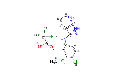 COc1cc(Nc2n[nH]c3ncccc23)ccc1Cl.O=C(O)C(F)(F)F